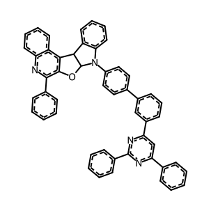 c1ccc(-c2cc(-c3cccc(-c4ccc(N5c6ccccc6C6c7c(c(-c8ccccc8)nc8ccccc78)OC65)cc4)c3)nc(-c3ccccc3)n2)cc1